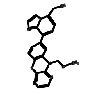 COCN1c2cc(-c3ccc(CO)n4ccnc34)ccc2Sc2nccnc21